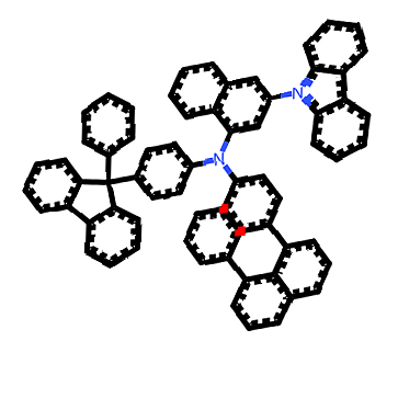 c1ccc(-c2cccc3cccc(-c4ccc(N(c5ccc(C6(c7ccccc7)c7ccccc7-c7ccccc76)cc5)c5cc(-n6c7ccccc7c7ccccc76)cc6ccccc56)cc4)c23)cc1